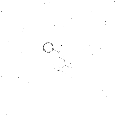 O=P(O)(O)C(O)CCCc1ccccc1